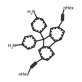 CCCCCCC#Cc1ccc2c(c1)C(c1ccc(N)cc1)(c1ccc(N)cc1)c1cc(C#CCCCCCC)ccc1-2